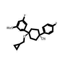 CSc1cc(F)cc([C@]2(OCC3CC3)CC[C@@](C#N)(c3ccc(F)cc3)CC2)c1